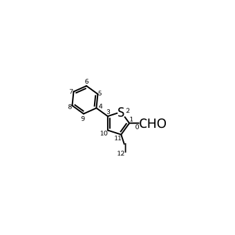 O=Cc1sc(-c2ccccc2)cc1I